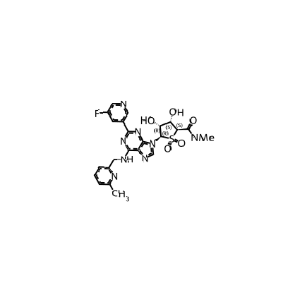 CNC(=O)[C@@H]1[C@@H](O)[C@@H](O)[C@H](n2cnc3c(NCc4cccc(C)n4)nc(-c4cncc(F)c4)nc32)S1(=O)=O